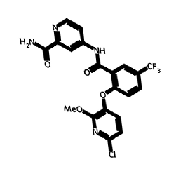 COc1nc(Cl)ccc1Oc1ccc(C(F)(F)F)cc1C(=O)Nc1ccnc(C(N)=O)c1